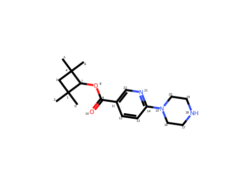 CC1(C)CC(C)(C)C1OC(=O)c1ccc(N2CCNCC2)nc1